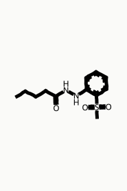 CCCCC(=O)NNc1ccccc1S(C)(=O)=O